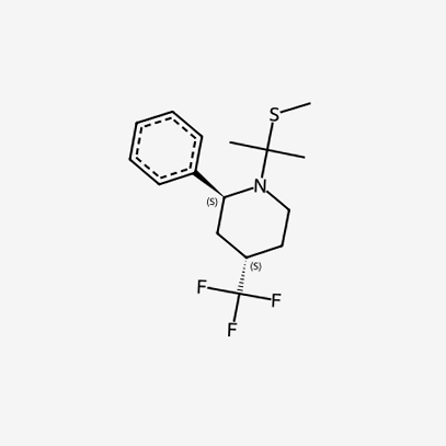 CSC(C)(C)N1CC[C@H](C(F)(F)F)C[C@H]1c1ccccc1